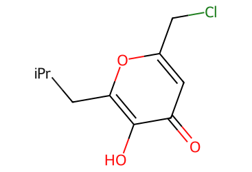 CC(C)Cc1oc(CCl)cc(=O)c1O